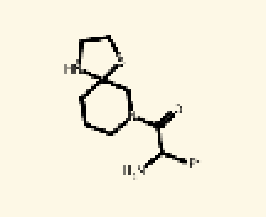 CC(C)C(N)C(=O)N1CCCC2(C1)NCCS2